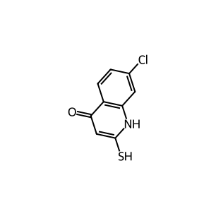 O=c1cc(S)[nH]c2cc(Cl)ccc12